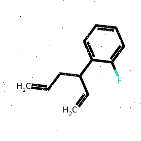 C=CC[C](C=C)c1ccccc1F